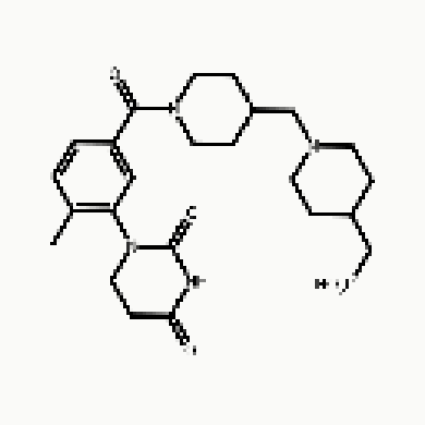 Cc1ccc(C(=O)N2CCC(CN3CCC(CC(=O)O)CC3)CC2)cc1N1CCC(=O)NC1=O